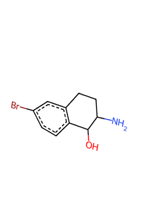 NC1CCc2cc(Br)ccc2C1O